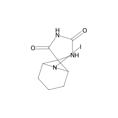 O=C1NC(=O)C2(N1)C1CCCC2N(I)C1